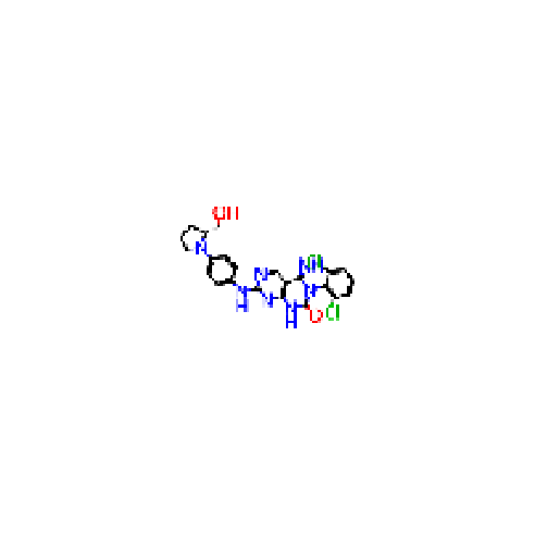 N=c1c2cnc(Nc3ccc(N4CCC[C@@H]4CO)cc3)nc2[nH]c(=O)n1-c1c(Cl)cccc1Cl